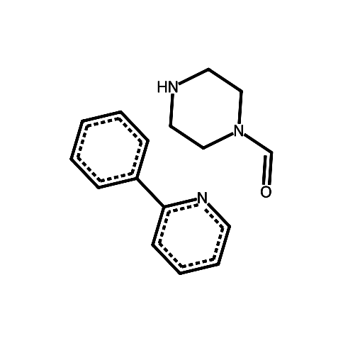 O=CN1CCNCC1.c1ccc(-c2ccccn2)cc1